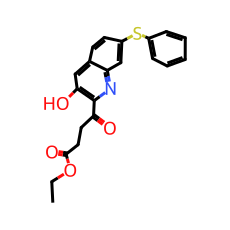 CCOC(=O)CCC(=O)c1nc2cc(Sc3ccccc3)ccc2cc1O